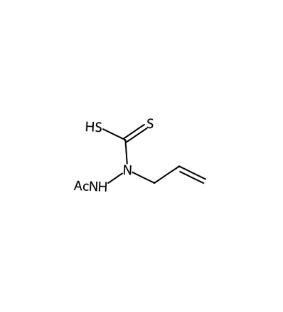 C=CCN(NC(C)=O)C(=S)S